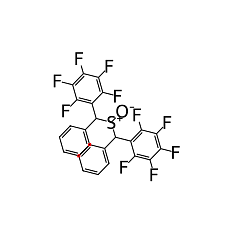 [O-][S+](C(c1ccccc1)c1c(F)c(F)c(F)c(F)c1F)C(c1ccccc1)c1c(F)c(F)c(F)c(F)c1F